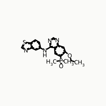 CCOc1cc2ncnc(Nc3ccc4scnc4c3)c2cc1P(C)(C)=O